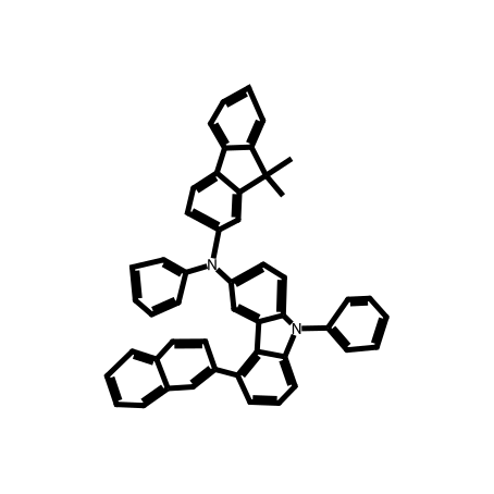 CC1(C)c2ccccc2-c2ccc(N(c3ccccc3)c3ccc4c(c3)c3c(-c5ccc6ccccc6c5)cccc3n4-c3ccccc3)cc21